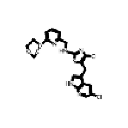 Clc1cnc2[nH]cc(Cc3sc(NCc4cccc(N5CCOCC5)n4)nc3Cl)c2c1